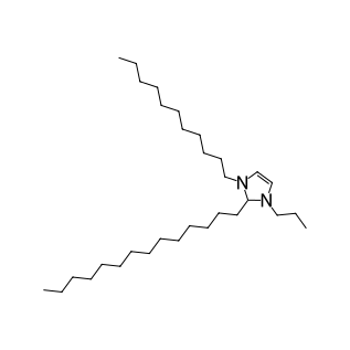 CCCCCCCCCCCCCCC1N(CCC)C=CN1CCCCCCCCCCC